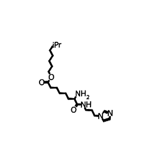 CC(C)CCCCCOC(=O)CCCCCC(N)C(=O)NCCCn1ccnc1